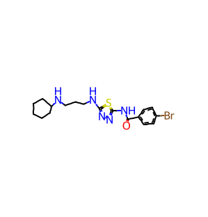 O=C(Nc1nnc(NCCCNC2CCCCC2)s1)c1ccc(Br)cc1